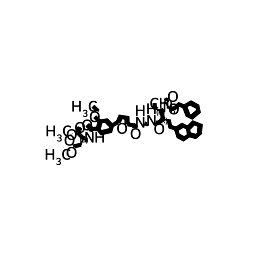 CCOc1cc(-c2ccc(C(=O)NCNC(=O)[C@H](CCc3ccc4ccccc4c3)[C@@H](CC)N(C=O)OCc3ccccc3)o2)ccc1C(=O)N[C@@H](CC(=O)OC)C(=O)OC